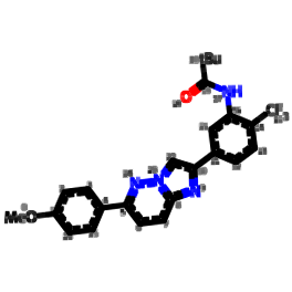 COc1ccc(-c2ccc3nc(-c4ccc(C(F)(F)F)c(NC(=O)C(C)(C)C)c4)cn3n2)cc1